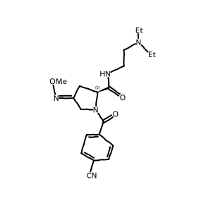 CCN(CC)CCNC(=O)[C@@H]1CC(=NOC)CN1C(=O)c1ccc(C#N)cc1